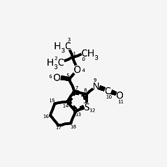 CC(C)(C)OC(=O)c1c(N=C=O)sc2c1CCCC2